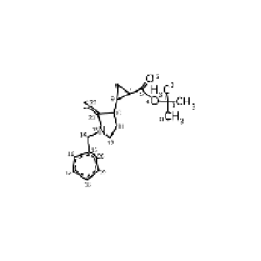 CC(C)(C)OC(=O)C1CC1C1CCN(Cc2ccccc2)C1=S